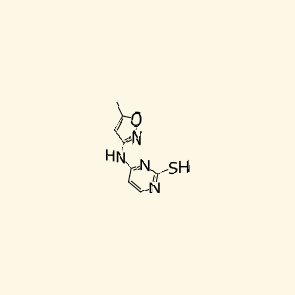 Cc1cc(Nc2ccnc(S)n2)no1